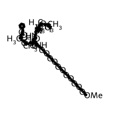 COCCOCCOCCOCCOCCOCCOCCOCCOCCOCCOCCOCCNC(=O)CN(CC(=O)NCCn1cc(CC(C)(C)OCCC(C)(C)CI)nn1)C(=O)CCC(C)(C)OCCC(C)(C)CC(=O)OCc1ccccc1